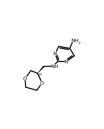 Nc1cnc(NC[C@@H]2COCCO2)nc1